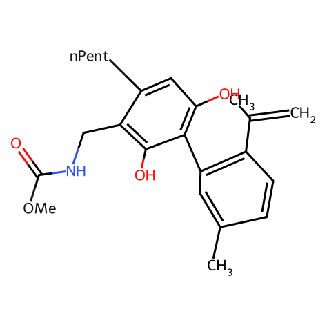 C=C(C)c1ccc(C)cc1-c1c(O)cc(CCCCC)c(CNC(=O)OC)c1O